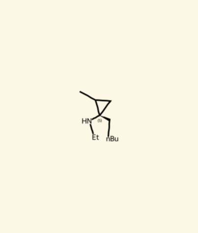 CCCCC[C@]1(NCC)CC1C